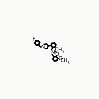 COc1cccc(CN(Cc2ccccc2C2CCN(Cc3ccc(F)cc3)CC2)C(C)=O)c1